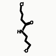 [O]CCCNC(=O)CCCCl